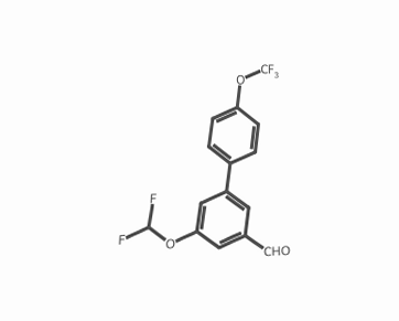 O=Cc1cc(OC(F)F)cc(-c2ccc(OC(F)(F)F)cc2)c1